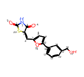 O=C1NC(=O)/C(=C\c2ccc(-c3cccc(CO)c3)o2)S1